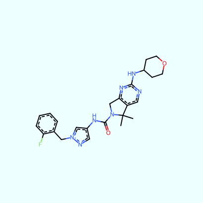 CC1(C)c2cnc(NC3CCOCC3)nc2CN1C(=O)Nc1cnn(Cc2ccccc2F)c1